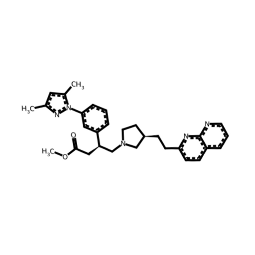 COC(=O)C[C@H](CN1CC[C@@H](CCc2ccc3cccnc3n2)C1)c1cccc(-n2nc(C)cc2C)c1